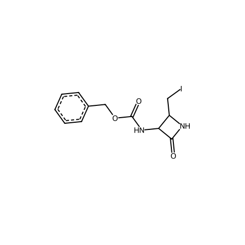 O=C(NC1C(=O)NC1CI)OCc1ccccc1